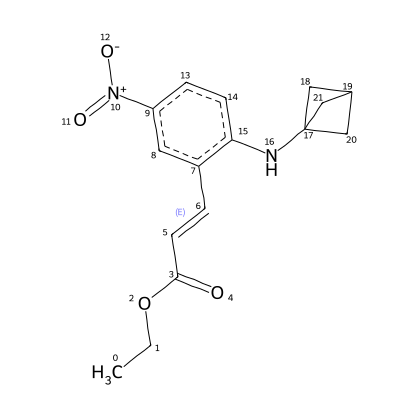 CCOC(=O)/C=C/c1cc([N+](=O)[O-])ccc1NC12CC(C1)C2